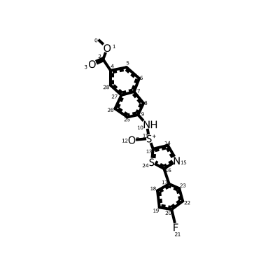 COC(=O)c1ccc2cc(N[S+]([O-])c3cnc(-c4ccc(F)cc4)s3)ccc2c1